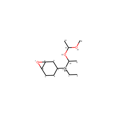 CC[SiH](C1CCC2OC2C1)C(C)OC(C)OC